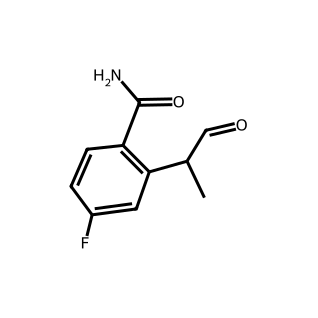 CC(C=O)c1cc(F)ccc1C(N)=O